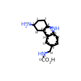 NC1CCc2[nH]c3ccc(CNC(=O)O)cc3c2C1